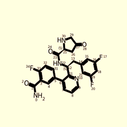 NC(=O)c1cc(-c2cccnc2[C@H](Cc2cc(F)cc(F)c2)NC(=O)[C@@H]2CC(=O)CN2)ccc1F